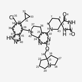 O=C1NC(=O)[C@]2(CCCN(c3nc(OCC45CCCN4CCC5)nc4c3CCN(c3c(C5CC5)c(Cl)cc5[nH]ncc35)C4)C2)N1